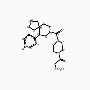 CCOC(=O)CC(=O)N1CCN(C(=O)N2CCC3(CCNC3)C(c3ccncc3)C2)CC1